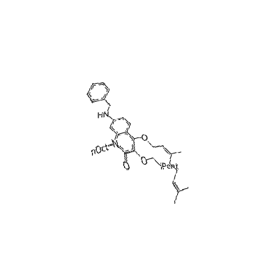 CCCCCCCCn1c(=O)c(OCC(C)CCC)c(OCC=C(C)CCC=C(C)C)c2ccc(NCc3ccccc3)cc21